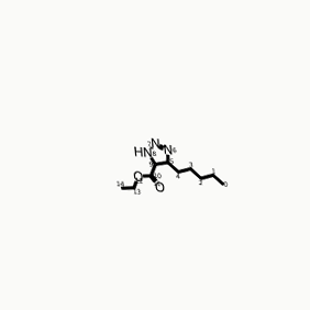 CCCCCC1N=NNC1C(=O)OCC